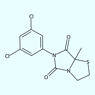 CC12SCCN1C(=O)N(c1cc(Cl)cc(Cl)c1)C2=O